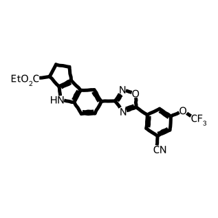 CCOC(=O)C1CCc2c1[nH]c1ccc(-c3noc(-c4cc(C#N)cc(OC(F)(F)F)c4)n3)cc21